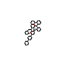 c1ccc(-c2ccc(-c3ccc(N(c4ccccc4-c4ccc5ccccc5c4)c4ccccc4-c4cc5ccccc5c5ccccc45)cc3)cc2)cc1